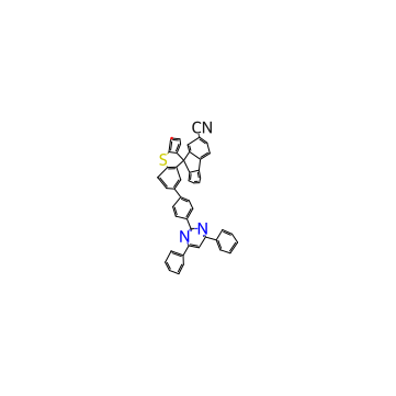 N#Cc1ccc2c(c1)C1(c3ccccc3Sc3ccc(-c4ccc(-c5nc(-c6ccccc6)cc(-c6ccccc6)n5)cc4)cc31)c1ccccc1-2